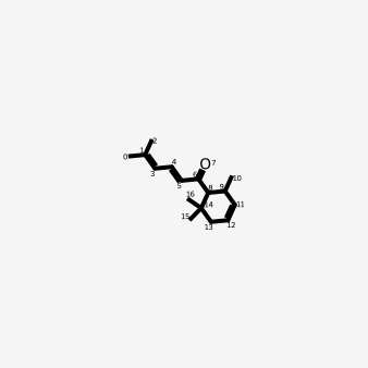 CC(C)=CC=CC(=O)C1C(C)C=CCC1(C)C